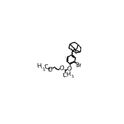 COCCOC(C)Oc1c[c]c(C23CC4CC(CC(C4)C2)C3)cc1Br